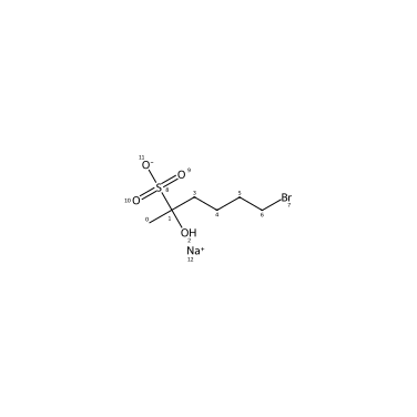 CC(O)(CCCCBr)S(=O)(=O)[O-].[Na+]